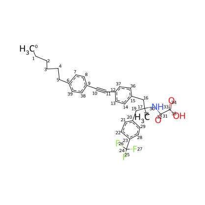 CCCCCCc1ccc(C#Cc2ccc(CC(C)(Cc3ccc(C(F)(F)F)cc3)NC(=O)C(=O)O)cc2)cc1